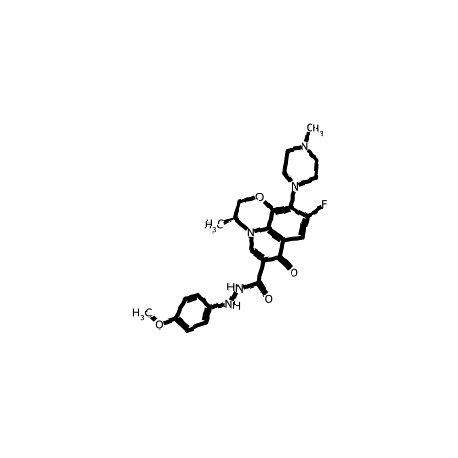 COc1ccc(NNC(=O)c2cn3c4c(c(N5CCN(C)CC5)c(F)cc4c2=O)OC[C@@H]3C)cc1